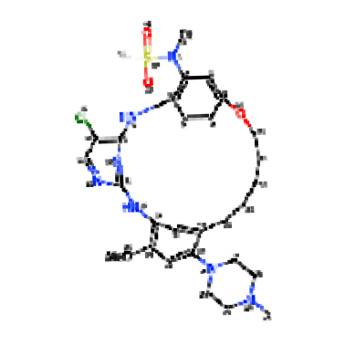 CCN(c1cc2ccc1Nc1nc(ncc1Cl)Nc1cc(c(N3CCN(C)CC3)cc1OC)CCCCCO2)S(C)(=O)=O